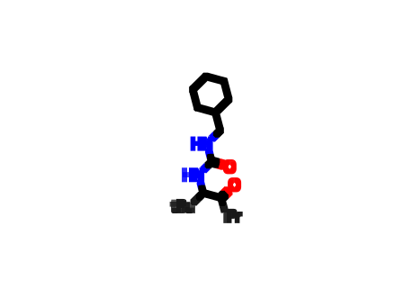 CC(C)C(=O)C(NC(=O)NCC1CCCCC1)C(C)(C)C